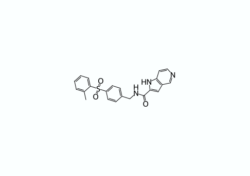 Cc1ccccc1S(=O)(=O)c1ccc(CNC(=O)c2cc3cnccc3[nH]2)cc1